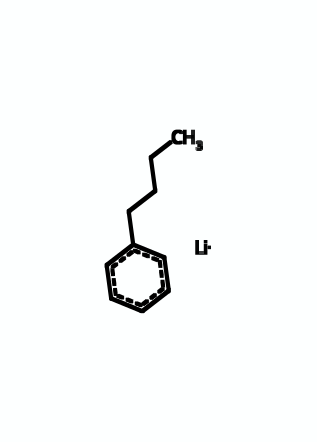 CCCCc1ccccc1.[Li]